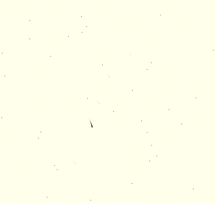 CCN1CCN(C(=O)N[C@H]([C]=O)CCC(N)=O)C(=O)C1=O